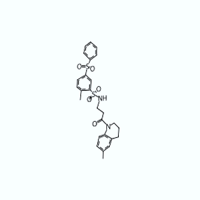 Cc1ccc2c(c1)CCCN2C(=O)CCNS(=O)(=O)c1cc(S(=O)(=O)c2ccccc2)ccc1C